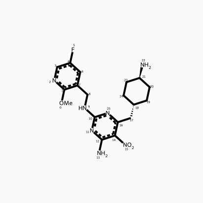 COc1ncc(F)cc1CNc1nc(N)c([N+](=O)[O-])c(C[C@H]2CC[C@H](N)CC2)n1